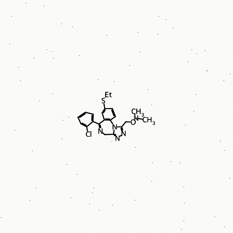 CCSc1ccc2c(c1)C(c1ccccc1Cl)=NCc1nnc(CON(C)C)n1-2